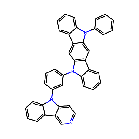 c1ccc(-n2c3ccccc3c3cc4c(cc32)c2ccccc2n4-c2cccc(-n3c4ccccc4c4cnccc43)c2)cc1